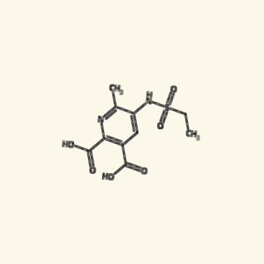 CCS(=O)(=O)Nc1cc(C(=O)O)c(C(=O)O)nc1C